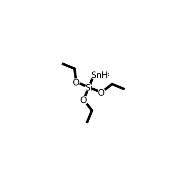 CCO[Si]([SnH])(OCC)OCC